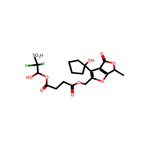 CC1OC(=O)c2c1oc(COC(=O)CCC(=O)OC(O)C(F)(F)S(=O)(=O)O)c2C1(O)CCCC1